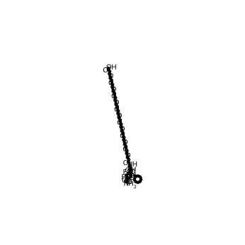 NS(=O)(=O)c1c(F)c(F)c(S(=O)(=O)CCNC(=O)CCOCCOCCOCCOCCOCCOCCOCCOCCOCCOCCOCCOCCOCCC(=O)O)c(NC2CCCCCCC2)c1F